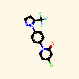 O=c1cc(Cl)ccn1-c1ccc(-n2nccc2C(F)(F)F)cc1